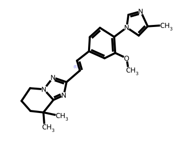 COc1cc(/C=C/c2nc3n(n2)CCCC3(C)C)ccc1-n1cnc(C)c1